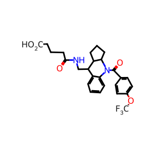 O=C(O)CCCC(=O)NCC1c2ccccc2N(C(=O)c2ccc(OC(F)(F)F)cc2)C2CCCC12